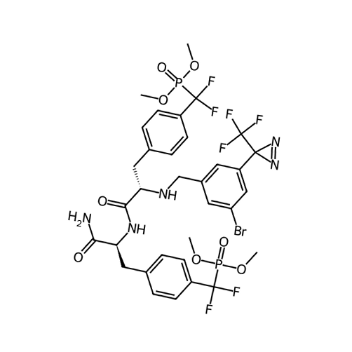 COP(=O)(OC)C(F)(F)c1ccc(C[C@H](NC(=O)[C@H](Cc2ccc(C(F)(F)P(=O)(OC)OC)cc2)NCc2cc(Br)cc(C3(C(F)(F)F)N=N3)c2)C(N)=O)cc1